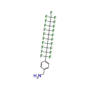 NCc1ccc(C(F)(F)C(F)(F)C(F)(F)C(F)(F)C(F)(F)C(F)(F)C(F)(F)C(F)(F)C(F)(F)C(F)(F)F)cc1